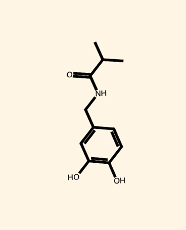 CC(C)C(=O)NCc1ccc(O)c(O)c1